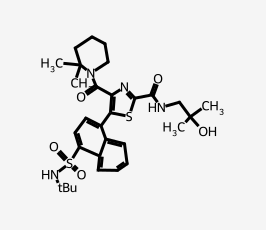 CC(C)(O)CNC(=O)c1nc(C(=O)N2CCCCC2(C)C)c(-c2ccc(S(=O)(=O)NC(C)(C)C)c3ccccc23)s1